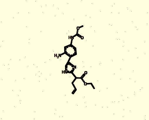 C=CCC(C(=O)OCC)c1nc(-c2ccc(NC(=O)OC)cc2N)c[nH]1